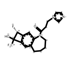 O=C(CCn1ccnc1)N1CCCCc2cc3c(cc21)[C@@H](F)C3(O)C(F)(F)F